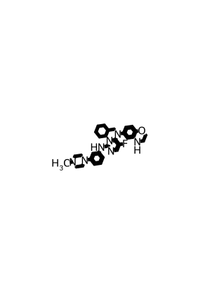 CN1CCN(c2cccc(Nc3ncc(F)c(N(CC4CCCCC4)c4ccc5c(c4)NCCO5)n3)c2)CC1